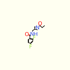 CCC(=O)N1CC(CNC(=O)c2ccc(F)cc2F)C1